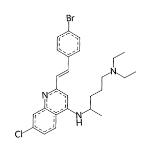 CCN(CC)CCCC(C)Nc1cc(/C=C/c2ccc(Br)cc2)nc2cc(Cl)ccc12